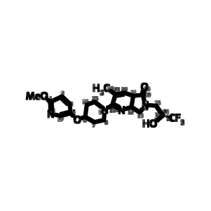 COc1ccc(OC2CCN(C3=NC4CN(C[C@@H](O)C(F)(F)F)C(=O)C4C=C3C)CC2)cn1